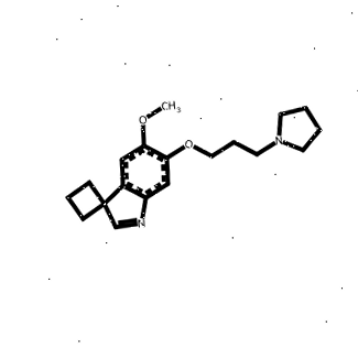 COc1cc2c(cc1OCCCN1CCCC1)N=CC21CCC1